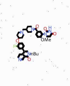 CCCCn1cc(-c2ccc(OC3CCN(CC4CCN(C(=O)c5ccc(OC)c(-n6ccc(=O)[nH]c6=O)c5)CC4)CC3)c(F)c2)c2ccncc2c1=O